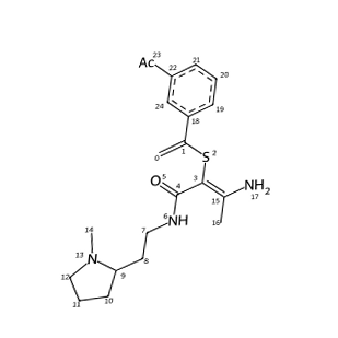 C=C(S/C(C(=O)NCCC1CCCN1C)=C(/C)N)c1cccc(C(C)=O)c1